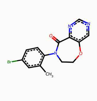 Cc1cc(Br)ccc1N1CCOc2cncnc2C1=O